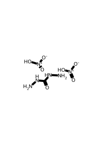 NNC(=O)NN.O=[N+]([O-])O.O=[N+]([O-])O